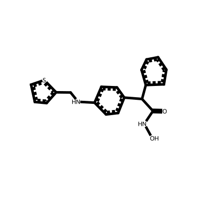 O=C(NO)C(c1ccccc1)c1ccc(NCc2cccs2)cc1